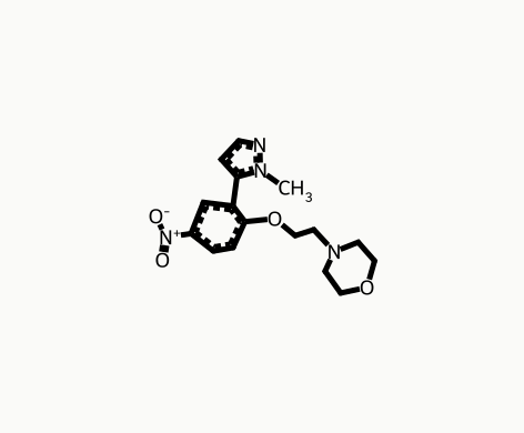 Cn1nccc1-c1cc([N+](=O)[O-])ccc1OCCN1CCOCC1